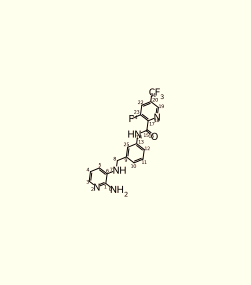 Nc1ncccc1NCc1cccc(NC(=O)c2ncc(C(F)(F)F)cc2F)c1